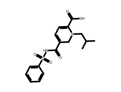 CC(C)CN1CC(C(=O)NS(=O)(=O)c2ccccc2)=CC=C1C(=O)O